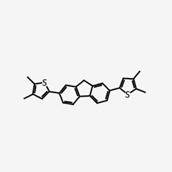 Cc1cc(-c2ccc3c(c2)Cc2cc(-c4cc(C)c(C)s4)ccc2-3)sc1C